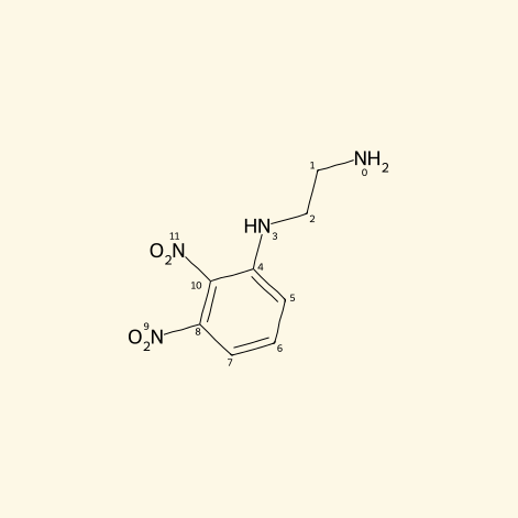 NCCNc1cccc([N+](=O)[O-])c1[N+](=O)[O-]